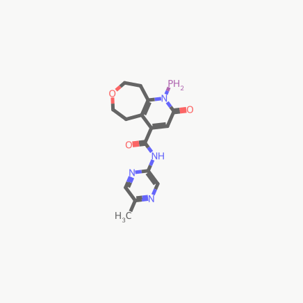 Cc1cnc(NC(=O)c2cc(=O)n(P)c3c2CCOCC3)cn1